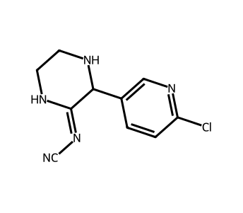 N#C/N=C1\NCCNC1c1ccc(Cl)nc1